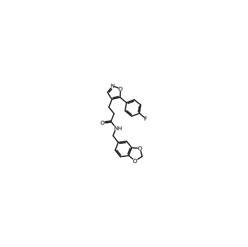 O=C(CCc1cnoc1-c1ccc(F)cc1)NCc1ccc2c(c1)OCO2